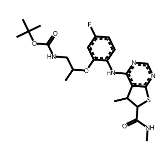 CNC(=O)C1Sc2ncnc(Nc3ccc(F)cc3OC(C)CNC(=O)OC(C)(C)C)c2C1C